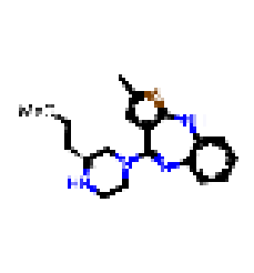 COCC[C@H]1CN(C2=Nc3ccccc3Nc3sc(C)cc32)CCN1